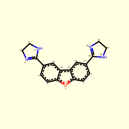 c1cc2oc3ccc(C4=NCCN4)cc3c2cc1C1=NCCN1